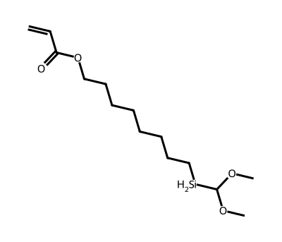 C=CC(=O)OCCCCCCCC[SiH2]C(OC)OC